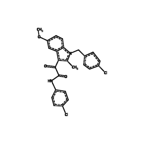 COc1ccc2c(c1)c(C(=O)C(=O)Nc1ccc(Cl)cc1)c(C)n2Cc1ccc(Cl)cc1